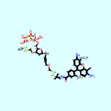 Cc1c(N)ccc2c(-c3ccc(C(=O)NCC(C)(C)SSCOCC#CB[C@H]4C[C@@H](OCSSC(C)(C)C)[C@@H](COP(=O)(O)OP(=O)(O)OP(=O)(O)O)O4)cc3C(=O)O)c3ccc(=N)c(S(=O)(=O)O)c-3oc12